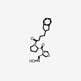 O=C([C@@H]1CCCN1C(=O)CCCC1Cc2ccccc2C1)N1CSC[C@H]1C=NO